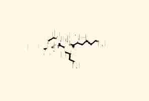 CC(C)[C@H](NC(=O)[C@H](CCCCN)NC(=O)[C@@H](N)CCCCN)C(=O)N[C@@H](C)C(=O)O